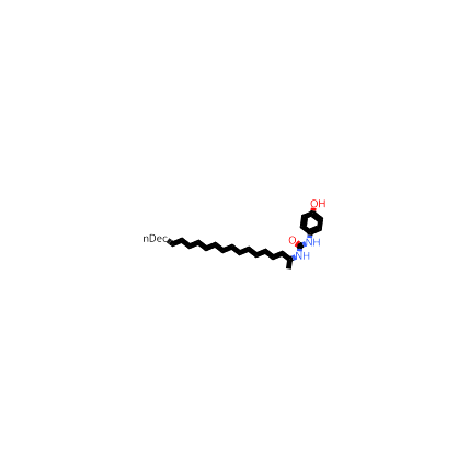 CCCCCCCCCCCCCCCCCCCCCCCCC(C)NC(=O)Nc1ccc(O)cc1